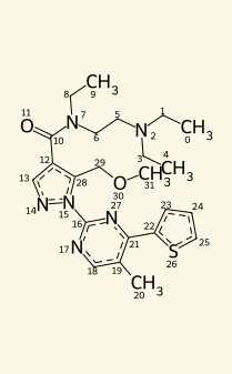 CCN(CC)CCN(CC)C(=O)c1cnn(-c2ncc(C)c(-c3cccs3)n2)c1COC